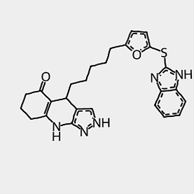 O=C1CCCC2=C1C(CCCCCc1ccc(Sc3nc4ccccc4[nH]3)o1)c1c[nH]nc1N2